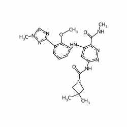 CNC(=O)c1nnc(NC(=O)N2CC(C)(C)C2)cc1Nc1cccc(-c2ncn(C)n2)c1OC